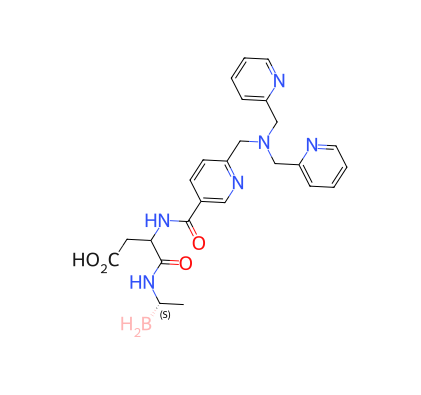 B[C@@H](C)NC(=O)C(CC(=O)O)NC(=O)c1ccc(CN(Cc2ccccn2)Cc2ccccn2)nc1